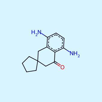 Nc1ccc(N)c2c1CC1(CCCC1)CC2=O